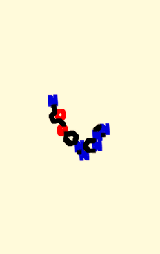 N#CC1CCC(COc2ccc(-n3cnc4cnc(-n5ccnc5)cc43)cc2)O1